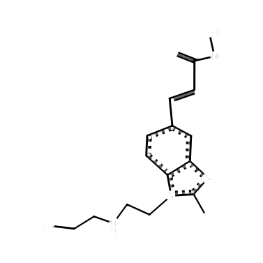 CCCc1nc2cc(C=CC(=O)NO)ccc2n1CCNCCC(C)(C)C